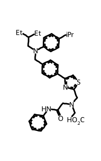 CCC(CC)CN(Cc1ccc(-c2csc(CN(CC(=O)O)CC(=O)Nc3ccccc3)n2)cc1)c1ccc(C(C)C)cc1